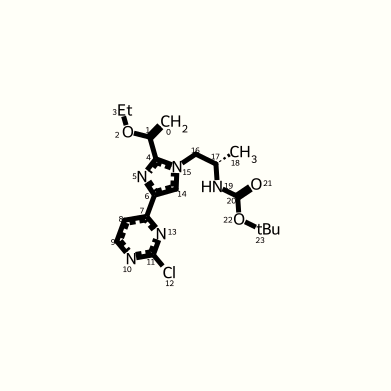 C=C(OCC)c1nc(-c2ccnc(Cl)n2)cn1C[C@H](C)NC(=O)OC(C)(C)C